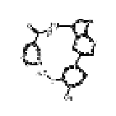 COc1cc(-c2cnc3[nH]cc(N)c3c2)ccc1O.O=C(O)c1cncnc1